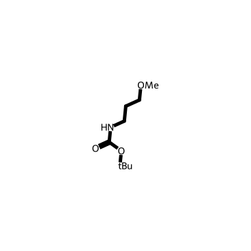 [CH2]OCCCNC(=O)OC(C)(C)C